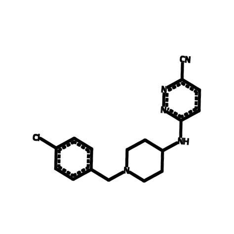 N#Cc1ccc(NC2CCN(Cc3ccc(Cl)cc3)CC2)nn1